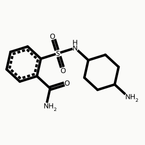 NC(=O)c1ccccc1S(=O)(=O)NC1CCC(N)CC1